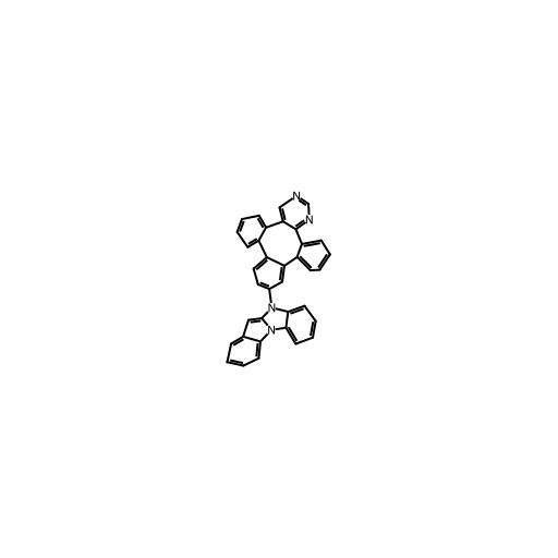 c1ccc2c(c1)-c1ccc(-n3c4ccccc4n4c5ccccc5cc34)cc1-c1ccccc1-c1ncncc1-2